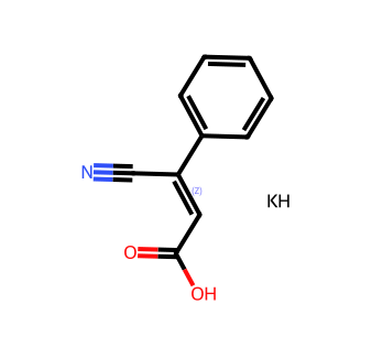 N#C/C(=C\C(=O)O)c1ccccc1.[KH]